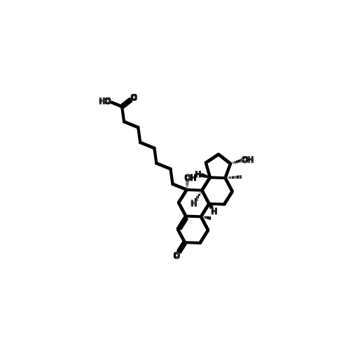 C[C@]12CC[C@H]3[C@H]([C@@H]1CC[C@@H]2O)[C@](O)(CCCCCCCC(=O)O)CC1=CC(=O)CC[C@@]13C